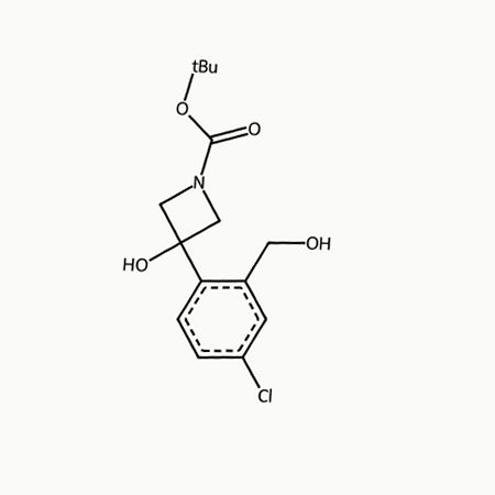 CC(C)(C)OC(=O)N1CC(O)(c2ccc(Cl)cc2CO)C1